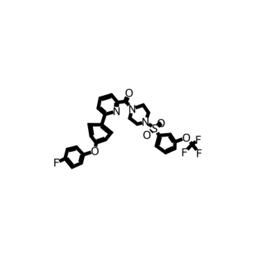 O=C(c1cccc(-c2ccc(Oc3ccc(F)cc3)cc2)n1)N1CCN(S(=O)(=O)c2cccc(OC(F)(F)F)c2)CC1